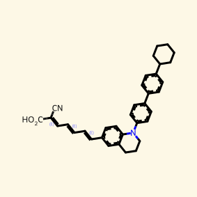 N#C\C(=C/C=C/C=C/c1ccc2c(c1)CCCN2c1ccc(-c2ccc(C3CCCCC3)cc2)cc1)C(=O)O